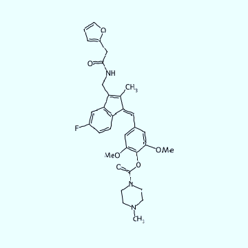 COc1cc(/C=C2/C(C)=C(CNC(=O)Cc3ccco3)c3cc(F)ccc32)cc(OC)c1OC(=O)N1CCN(C)CC1